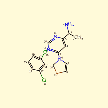 CC(N)c1cc(N2C=CS[C@@H]2c2c(Cl)cccc2Cl)ncn1